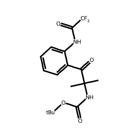 CC(C)(C)OC(=O)NC(C)(C)C(=O)c1ccccc1NC(=O)C(F)(F)F